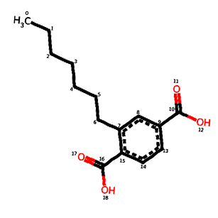 CCCCCCCc1cc(C(=O)O)ccc1C(=O)O